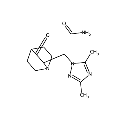 Cc1nc(C)n(CC2C(=O)C3CCN2CC3)n1.NC=O